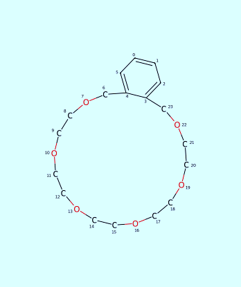 c1ccc2c(c1)COCCOCCOCCOCCOCCOC2